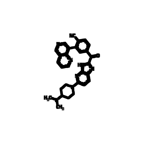 CN(C)C1CCN(c2ccc3nc(C(=O)c4ccc(C#N)c(-c5cncc6cccnc56)c4)[nH]c3n2)CC1